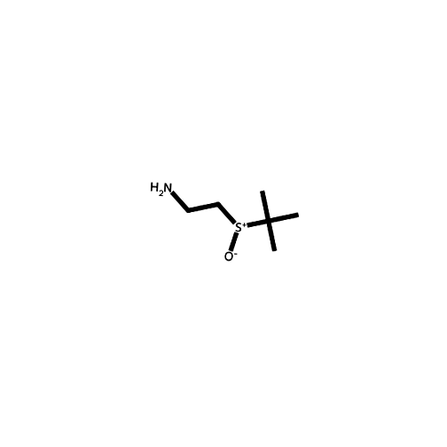 CC(C)(C)[S+]([O-])CCN